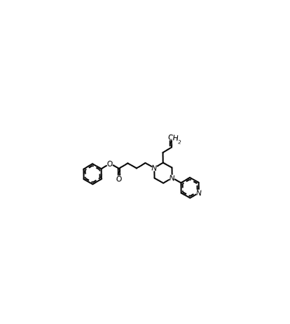 C=CCC1CN(c2ccncc2)CCN1CCCC(=O)Oc1ccccc1